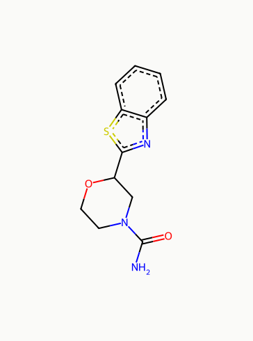 NC(=O)N1CCOC(c2nc3ccccc3s2)C1